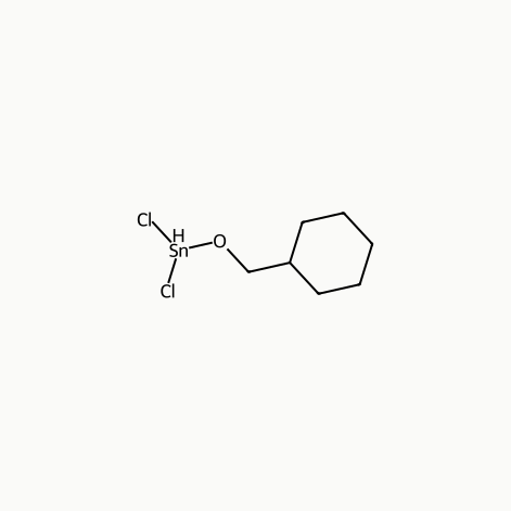 [Cl][SnH]([Cl])[O]CC1CCCCC1